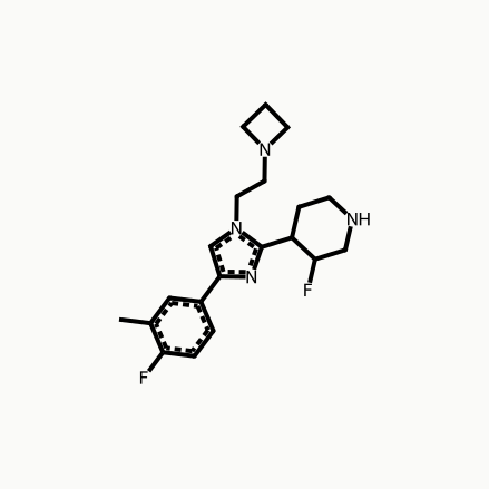 Cc1cc(-c2cn(CCN3CCC3)c(C3CCNCC3F)n2)ccc1F